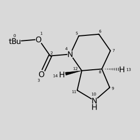 CC(C)(C)OC(=O)N1CCC[C@H]2CNC[C@@H]21